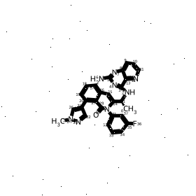 C[C@H](Nc1nc(N)nc2cccnc12)c1cc2cccc(-c3cnn(C)c3)c2c(=O)n1-c1cccc(F)c1